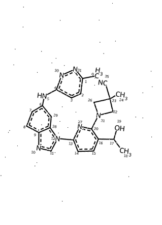 Cc1ccc(Nc2ccc3ncn(-c4ccc(C(C)O)c(N5CC(C)(C#N)C5)n4)c3c2)nn1